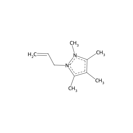 C=CC[n+]1c(C)c(C)c(C)n1C